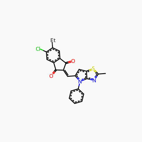 CCc1cc2c(cc1Cl)C(=O)/C(=C/c1cc3sc(C)nc3n1-c1ccccc1)C2=O